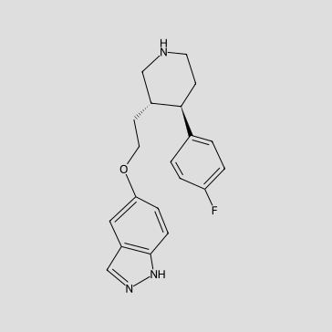 Fc1ccc([C@@H]2CCNC[C@H]2CCOc2ccc3[nH]ncc3c2)cc1